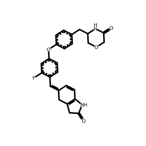 O=C1CC2=C(C=CC(=Cc3ccc(Oc4ccc(CC5COCC(=O)N5)cc4)cc3F)C2)N1